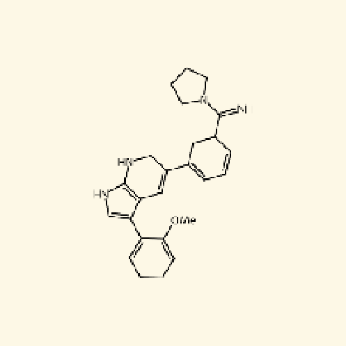 COC1=CCCC=C1c1c[nH]c2c1C=C(C1=CC=CC(C(=N)N3CCCC3)C1)CN2